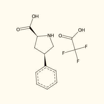 O=C(O)C(F)(F)F.O=C(O)[C@@H]1C[C@H](c2ccccc2)CN1